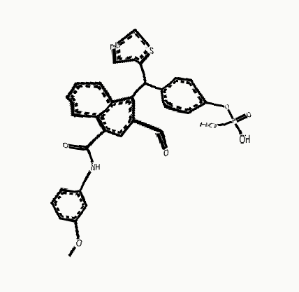 COc1cccc(NC(=O)c2cc(C=O)c(C(c3ccc(OP(=O)(O)O)cc3)c3cncs3)c3ccccc23)c1